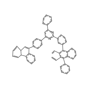 C=Cc1c(C=C)c(-c2cccc(-c3nc(-c4ccccc4)cc(-c4ccc(C5=CC6C=CC=CC6c6ccccc65)cc4)n3)c2)c2ccccc2c1-c1ccccc1